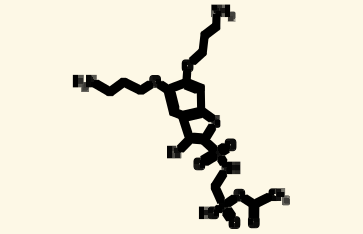 CCc1c(S(=O)(=O)NCP(=O)(O)OC(=O)C(F)(F)F)sc2cc(OCCCN)c(OCCCN)cc12